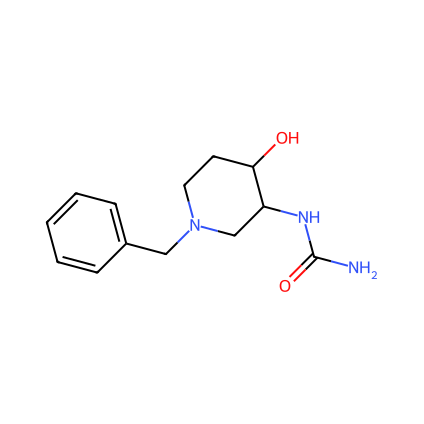 NC(=O)NC1CN(Cc2ccccc2)CCC1O